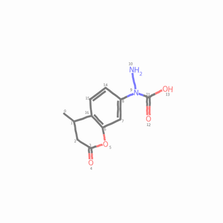 CC1CC(=O)Oc2cc(N(N)C(=O)O)ccc21